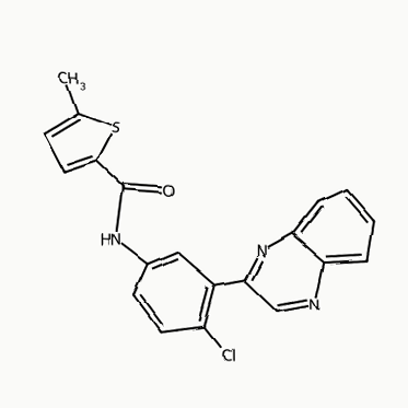 Cc1ccc(C(=O)Nc2ccc(Cl)c(-c3cnc4ccccc4n3)c2)s1